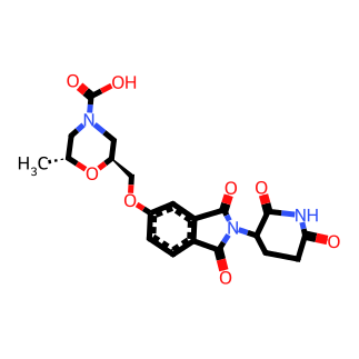 C[C@@H]1CN(C(=O)O)C[C@@H](COc2ccc3c(c2)C(=O)N(C2CCC(=O)NC2=O)C3=O)O1